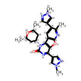 Cc1nc2oc3c(-c4cnn(C)c4)nc(=O)n([C@H]4C[C@@H](C)O[C@@H](C)C4)c3c2cc1-c1cnn(C)c1